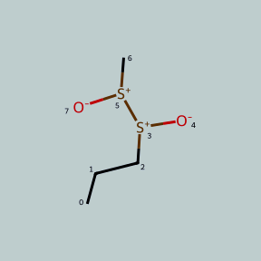 CCC[S+]([O-])[S+](C)[O-]